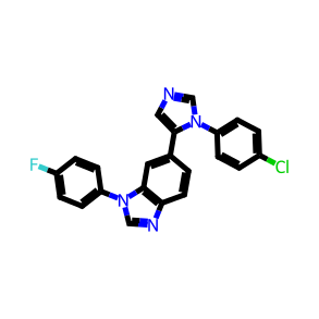 Fc1ccc(-n2cnc3ccc(-c4cncn4-c4ccc(Cl)cc4)cc32)cc1